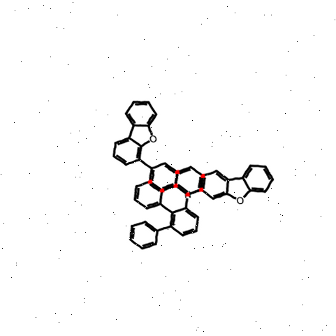 c1ccc(-c2ccccc2-c2c(-c3ccccc3)cccc2N(c2ccc(-c3cccc4c3oc3ccccc34)cc2)c2ccc3c(c2)oc2ccccc23)cc1